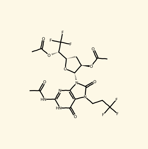 CC(=O)Nc1nc2c(c(=O)[nH]1)n(CCC(F)(F)F)c(=O)n2[C@@H]1O[C@H]([C@H](OC(C)=O)C(F)(F)F)C[C@H]1OC(C)=O